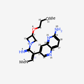 CN/C=C(\C(=N)N1CC(OCCOC)C1)c1cnc2ccc(N)nc2c1